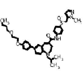 CCCCOCCOc1ccc(-c2ccc3c(c2)C=C(C(=O)Nc2ccc([S+]([O-])Cc4ccnn4C)cc2)CCN3CC(C)C)cc1